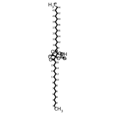 CCCCCCCCCCCCCCCCCC(=O)C([O][Ti](=[O])[OH])(C(=O)O)C(=O)CCCCCCCCCCCCCCCCC